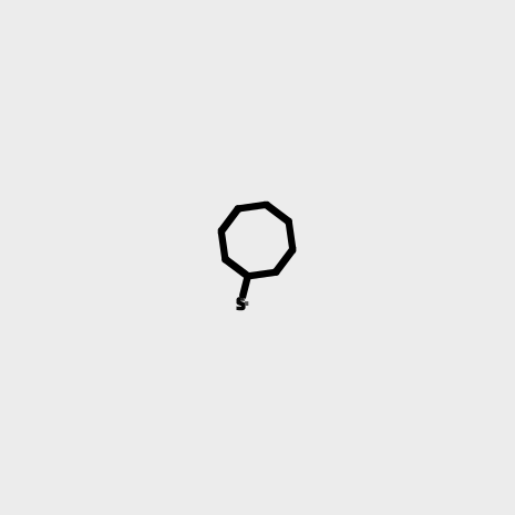 [S]C1CCCCCCC1